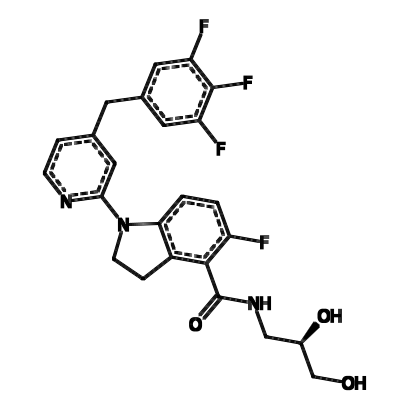 O=C(NC[C@@H](O)CO)c1c(F)ccc2c1CCN2c1cc(Cc2cc(F)c(F)c(F)c2)ccn1